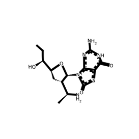 CC[C@H](O)[C@@H]1C[C@@H]([C@H](C)N)[C@H](n2c(=O)sc3c(=O)[nH]c(N)nc32)O1